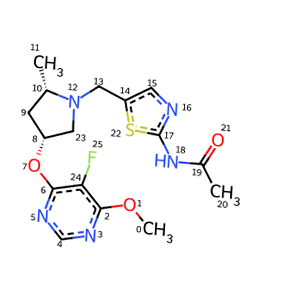 COc1ncnc(O[C@@H]2C[C@H](C)N(Cc3cnc(NC(C)=O)s3)C2)c1F